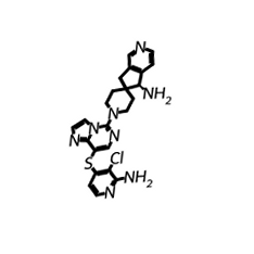 Nc1nccc(Sc2cnc(N3CCC4(CC3)Cc3cnccc3[C@H]4N)n3ccnc23)c1Cl